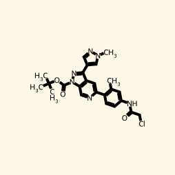 Cc1cc(NC(=O)CCl)ccc1-c1cc2c(-c3cnn(C)c3)nn(C(=O)OC(C)(C)C)c2cn1